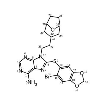 Nc1ncnc2c1nc(Sc1cc3c(cc1Br)OCO3)n2CCC1CC2CCC(C1)O2